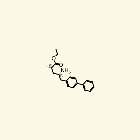 CCOC(=O)[C@@H](C)C[C@H](N)Cc1ccc(-c2ccccc2)cc1